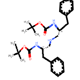 CC(C)(C)OC(=O)N[C@H](CNC[C@@H](Cc1ccccc1)NC(=O)OC(C)(C)C)Cc1ccccc1